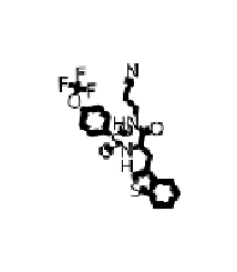 N#CCCNC(=O)C(Cc1csc2ccccc12)NS(=O)(=O)c1ccc(OC(F)(F)F)cc1